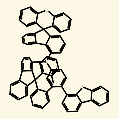 c1ccc2c(c1)Oc1ccccc1C21c2ccccc2-c2c(N(c3ccc(-c4cccc5c4sc4ccccc45)cc3)c3cccc4c3C3(c5ccccc5Oc5ccccc53)c3ccccc3-4)cccc21